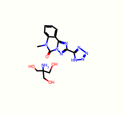 Cn1c(=O)n2nc(-c3nnn[nH]3)nc2c2ccccc21.NC(CO)(CO)CO